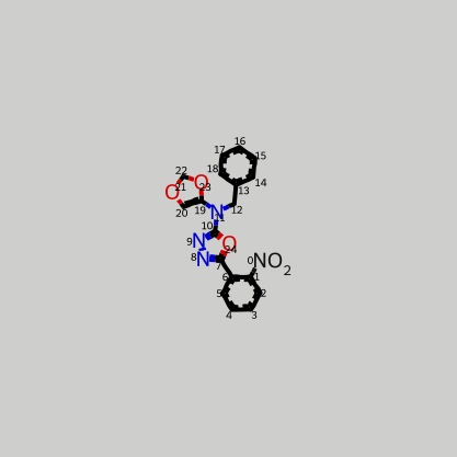 O=[N+]([O-])c1ccccc1-c1nnc(N(Cc2ccccc2)C2=COCO2)o1